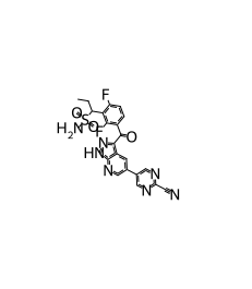 CCC(c1c(F)ccc(C(=O)c2n[nH]c3ncc(-c4cnc(C#N)nc4)cc23)c1F)S(N)(=O)=O